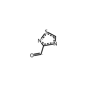 O=[C]c1ncsn1